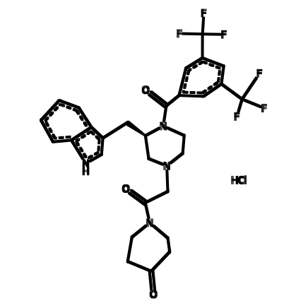 Cl.O=C1CCN(C(=O)CN2CCN(C(=O)c3cc(C(F)(F)F)cc(C(F)(F)F)c3)[C@H](Cc3c[nH]c4ccccc34)C2)CC1